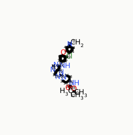 C=Nc1cccc(Oc2ccc(Nc3ncnc4cnc(N5CCC(NC(=O)OC(C)(C)C)CC5)nc34)cc2Cl)c1